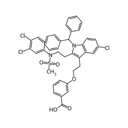 CS(=O)(=O)N(CCc1c(CCOc2cccc(C(=O)O)c2)c2cc(Cl)ccc2n1C(c1ccccc1)c1ccccc1)c1ccc(Cl)c(Cl)c1